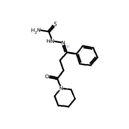 NC(=S)N/N=C(\CCC(=O)N1CCCCC1)c1ccccc1